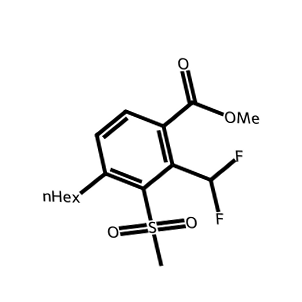 CCCCCCc1ccc(C(=O)OC)c(C(F)F)c1S(C)(=O)=O